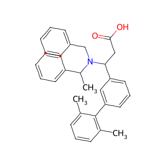 Cc1cccc(C)c1-c1cccc(C(CC(=O)O)N(Cc2ccccc2)C(C)c2ccccc2)c1